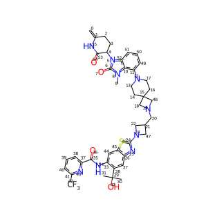 C=C1CCC(n2c(=O)n(C)c3c(N4CCC5(CC4)CN(CC4CN(c6nc7cc(C(C)(C)O)c(NC(=O)c8cccc(C(F)(F)F)n8)cc7s6)C4)C5)cccc32)C(=O)N1